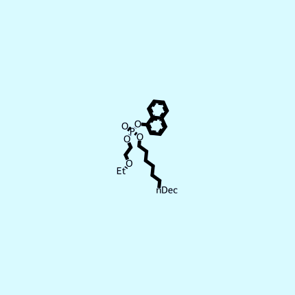 CCCCCCCCCCCCCCCCOP(=O)(OCCOCC)Oc1cccc2ccccc12